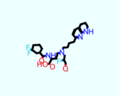 COCC(F)CN(CCCCc1ccc2c(n1)NCCC2)CCC(NC(=O)C1CCCC(F)(F)C1)C(=O)O